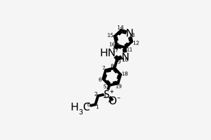 CCC[S+]([O-])c1ccc(-c2nc3cnccc3[nH]2)cc1